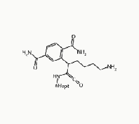 CCCCCCCNC(=C=O)C(CCCCN)c1cc(C(N)=O)ccc1C(N)=O